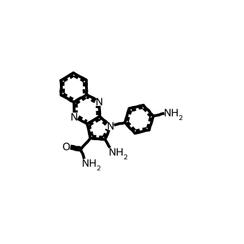 NC(=O)c1c(N)n(-c2ccc(N)cc2)c2nc3ccccc3nc12